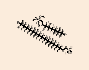 CO[Si](CCC(F)(F)C(F)(F)C(F)(F)C(F)(F)C(F)(F)C(F)(F)F)(OC)OC.C[Si](Cl)(Cl)CCC(F)(F)C(F)(F)C(F)(F)C(F)(F)C(F)(F)C(F)(F)C(F)(F)C(F)(F)C(F)(F)C(F)(F)C(F)(F)C(F)(F)C(F)(F)C(F)(F)F